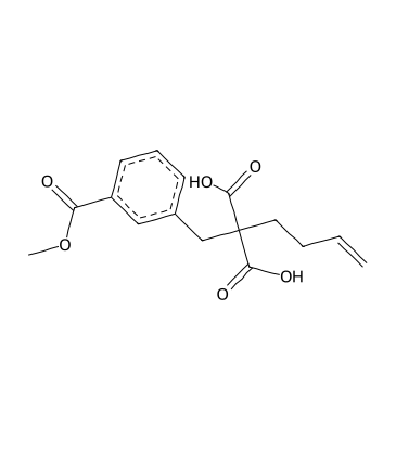 C=CCCC(Cc1cccc(C(=O)OC)c1)(C(=O)O)C(=O)O